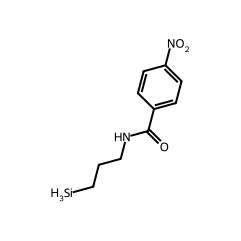 O=C(NCCC[SiH3])c1ccc([N+](=O)[O-])cc1